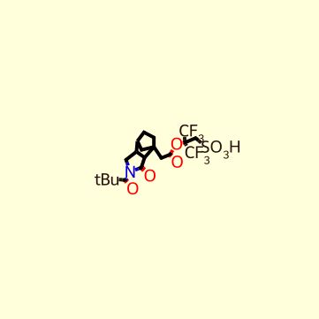 CC(C)(C)C(=O)N1CC2C3CCC(CC(=O)OC(CS(=O)(=O)O)(C(F)(F)F)C(F)(F)F)(C3)C2C1=O